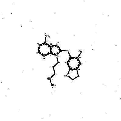 CC(C)(C)NCCCn1c(Sc2cc3c(cc2[124I])CCO3)nc2c(N)ncnc21